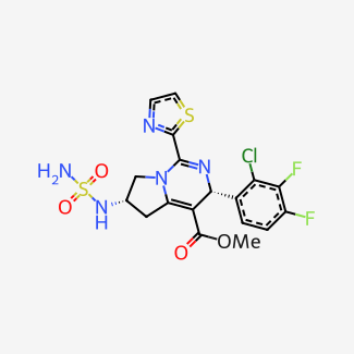 COC(=O)C1=C2C[C@H](NS(N)(=O)=O)CN2C(c2nccs2)=N[C@@H]1c1ccc(F)c(F)c1Cl